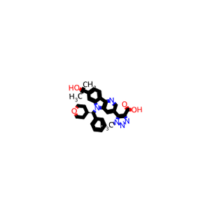 Cn1nnc(C(=O)O)c1-c1cnc2c3ccc(C(C)(C)O)cc3n([C@H](c3ccccc3)C3CCOCC3)c2c1